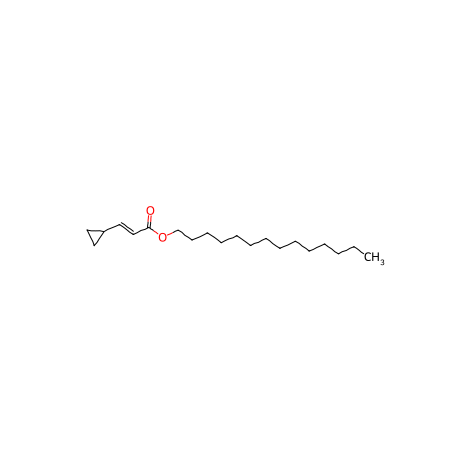 CCCCCCCCCCCCCCOC(=O)C=CC1CC1